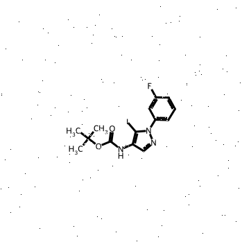 CC(C)(C)OC(=O)Nc1cnn(-c2cccc(F)c2)c1I